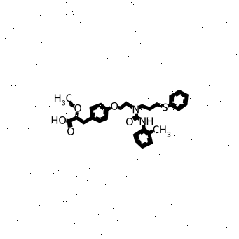 CCOC(Cc1ccc(OCCN(CCCSc2ccccc2)C(=O)Nc2ccccc2C)cc1)C(=O)O